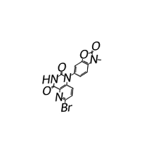 Cn1c(=O)oc2cc(-n3c(=O)[nH]c(=O)c4nc(Br)ccc43)ccc21